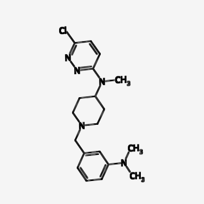 CN(C)c1cccc(CN2CCC(N(C)c3ccc(Cl)nn3)CC2)c1